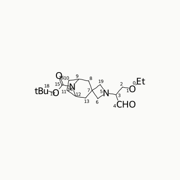 CCOCC(C=O)N1CC2(CC3CCC(C2)N3C(=O)OC(C)(C)C)C1